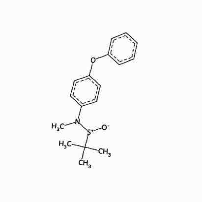 CN(c1ccc(Oc2ccccc2)cc1)[S+]([O-])C(C)(C)C